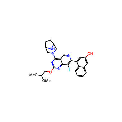 COC(COc1nc(N2CC3CCC(C2)N3)c2cnc(-c3cc(O)cc4ccccc34)c(F)c2n1)OC